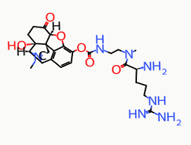 CN(CCNC(=O)Oc1ccc2c3c1O[C@H]1C(=O)CC[C@@]4(O)[C@@H](C2)N(C)CC[C@]314)C(=O)[C@@H](N)CCCNC(=N)N